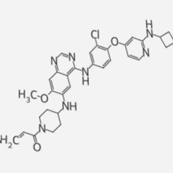 C=CC(=O)N1CCC(Nc2cc3c(Nc4ccc(Oc5ccnc(NC6CCC6)c5)c(Cl)c4)ncnc3cc2OC)CC1